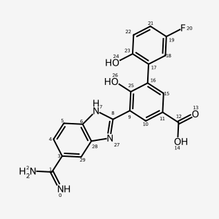 N=C(N)c1ccc2[nH]c(-c3cc(C(=O)O)cc(-c4cc(F)ccc4O)c3O)nc2c1